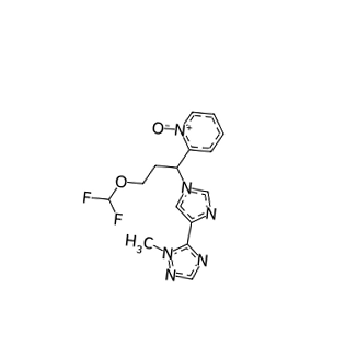 Cn1ncnc1-c1cn(C(CCOC(F)F)c2cccc[n+]2[O-])cn1